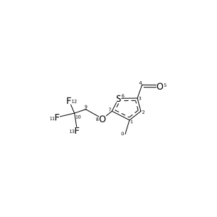 Cc1cc(C=O)sc1OCC(F)(F)F